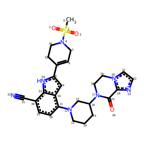 CS(=O)(=O)N1CC=C(c2cc3c(N4CCCC(N5CCn6ccnc6C5=O)C4)ccc(C#N)c3[nH]2)CC1